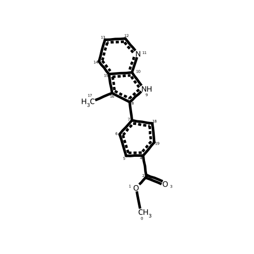 COC(=O)c1ccc(-c2[nH]c3ncccc3c2C)cc1